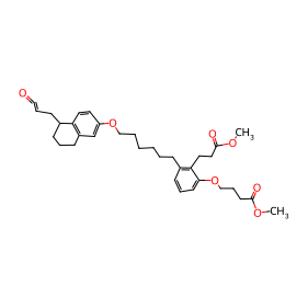 COC(=O)CCCOc1cccc(CCCCCCOc2ccc3c(c2)CCCC3CC=C=O)c1CCC(=O)OC